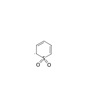 O=S1(=O)[CH]C=CC=C1